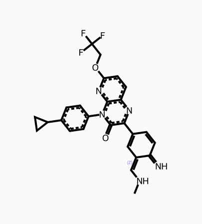 CN/C=C1/C=C(c2nc3ccc(OCC(F)(F)F)nc3n(-c3ccc(C4CC4)cc3)c2=O)C=CC1=N